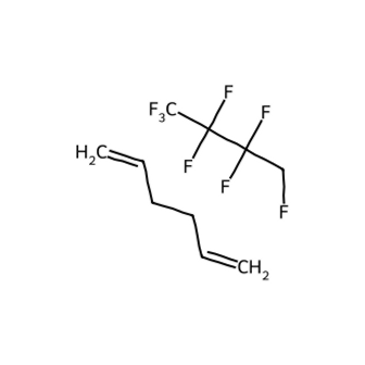 C=CCCC=C.FCC(F)(F)C(F)(F)C(F)(F)F